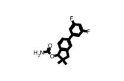 CC1(C)Cc2cc(-c3cc(F)cc(F)c3)ccc2C1OC(N)=O